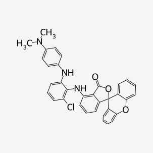 CN(C)c1ccc(Nc2cccc(Cl)c2Nc2cccc3c2C(=O)OC32c3ccccc3Oc3ccccc32)cc1